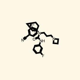 N#Cc1cccc([C@]23CC[C@@H](N(CCCN4CCC4)C(=O)Nc4cccc(F)c4)CC2C3)c1